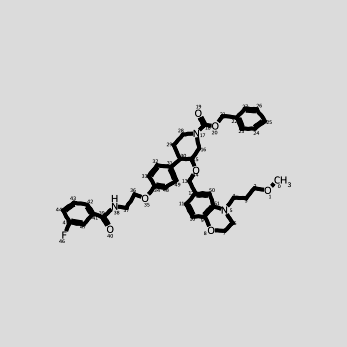 COCCCN1CCOc2ccc(COC3CN(C(=O)OCc4ccccc4)CCC3c3ccc(OCCNC(=O)c4cccc(F)c4)cc3)cc21